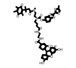 CC1=C(C)C(=O)C(C(C)(C)CC(=O)N(C)CCN(CCCC(=O)NCCNC(=O)c2ccc(C3c4ccc(O)cc4Oc4cc(O)ccc43)c(C(=O)O)c2)C(=O)Oc2ccc3nc(-c4nc(C)cs4)sc3c2)=C(C)C1=O